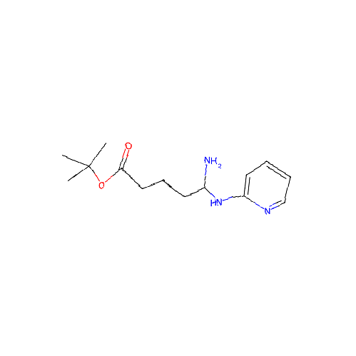 CC(C)(C)OC(=O)CCCC(N)Nc1ccccn1